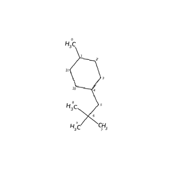 CC1CCC(CC(C)(C)C)CC1